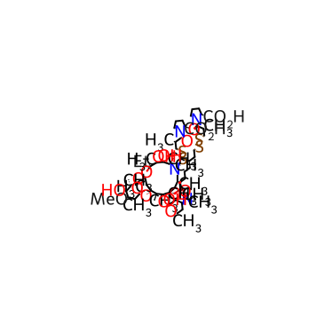 CC[C@H]1OC(=O)[C@H](C)[C@@H](O[C@H]2C[C@@](C)(OC)[C@@H](O)[C@H](C)O2)[C@H](C)[C@@H](O[C@@H]2O[C@H](C)C[C@H](N(C)C)[C@H]2OC(=O)CCCC[C@H](CCSSC[C@H](C)C(=O)N2CCC[C@H]2C(=O)O)SSC[C@H](C)C(=O)N2CCC[C@H]2C(=O)O)[C@](C)(O)C[C@@H](C)CN(C)[C@H](C)[C@@H](O)[C@]1(C)O